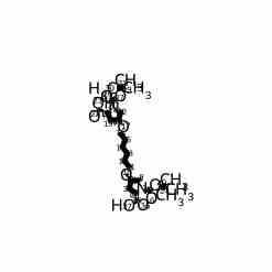 CC(C)(C)OC(=O)N1C[C@H](OCCCCCCO[C@@H]2C[C@@H](C(=O)O)N(C(=O)OC(C)(C)C)C2)C[C@H]1C(=O)O